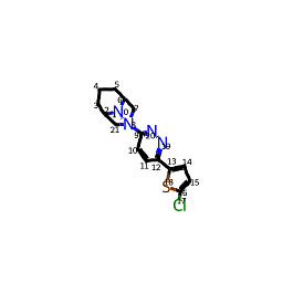 CN1C2CCCC1CN(c1ccc(-c3ccc(Cl)s3)nn1)C2